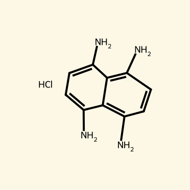 Cl.Nc1ccc(N)c2c(N)ccc(N)c12